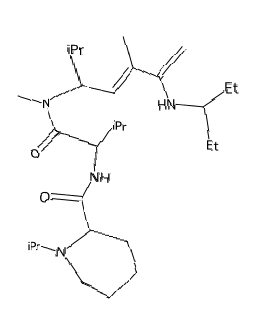 C=C(NC(CC)CC)/C(C)=C/C(C(C)C)N(C)C(=O)C(NC(=O)C1CCCCN1C(C)C)C(C)C